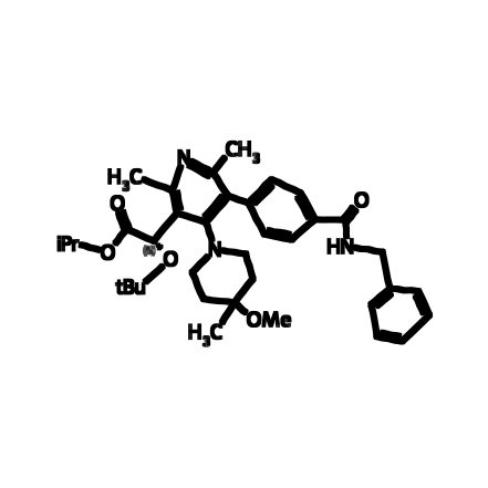 COC1(C)CCN(c2c(-c3ccc(C(=O)NCc4ccccc4)cc3)c(C)nc(C)c2[C@H](OC(C)(C)C)C(=O)OC(C)C)CC1